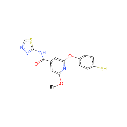 CC(C)Oc1cc(C(=O)Nc2nncs2)cc(Oc2ccc(S)cc2)n1